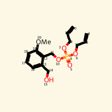 C=CCOP(=O)(OCC=C)OCc1c(CO)cccc1OC